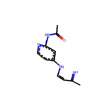 CC(=N)/C=C\Nc1ccnc(NC(C)=O)c1